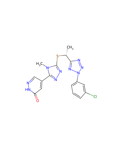 C[C@@H](Sc1nnc(-c2cn[nH]c(=O)c2)n1C)c1nnn(-c2cccc(Cl)c2)n1